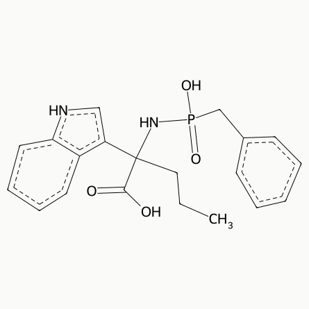 CCCC(NP(=O)(O)Cc1ccccc1)(C(=O)O)c1c[nH]c2ccccc12